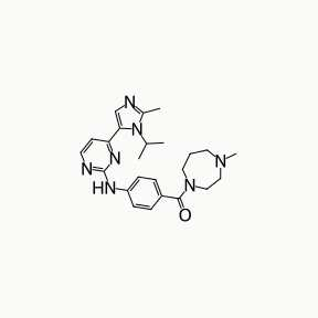 Cc1ncc(-c2ccnc(Nc3ccc(C(=O)N4CCCN(C)CC4)cc3)n2)n1C(C)C